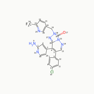 Nc1cc(-c2c(-c3ccc(Cl)cc3)cnn3c(=O)n(Cc4ccc(C(F)(F)F)nc4)nc23)ccn1